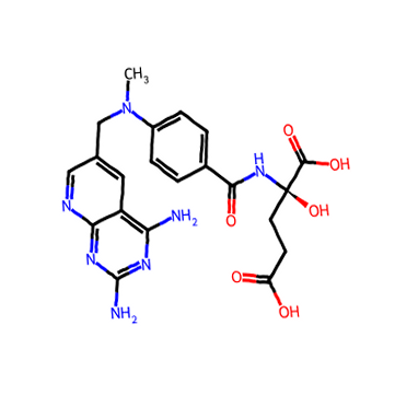 CN(Cc1cnc2nc(N)nc(N)c2c1)c1ccc(C(=O)N[C@@](O)(CCC(=O)O)C(=O)O)cc1